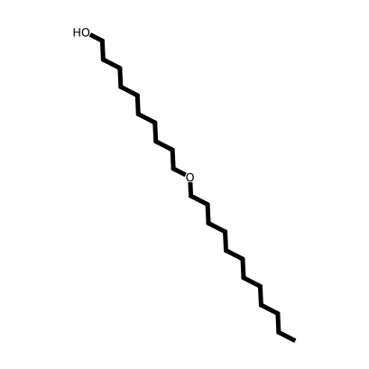 CCCCCCCCCCCCOCCCCCCCCCCO